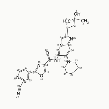 CC(C)(O)CCc1cn2cc(NC(=O)c3coc(-c4ccnc(C#N)c4)n3)c(N3CCCCC3)cc2n1